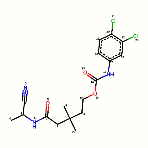 CC(C#N)NC(=O)CC(C)(C)CCOC(=O)Nc1ccc(Cl)c(Cl)c1